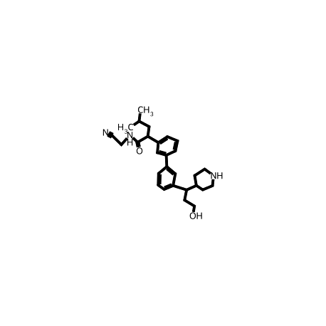 CC(C)CC(C(=O)NCC#N)c1cccc(-c2cccc(C(CCO)C3CCNCC3)c2)c1